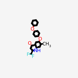 Cc1cc2[nH]c(C(F)F)cc(=O)c2cc1Oc1ccc(Oc2ccccc2)cc1